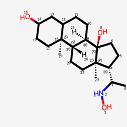 CC(NO)[C@H]1CC[C@@]2(O)[C@@H]3CCC4CC(O)CC[C@]4(C)[C@H]3CC[C@]12C